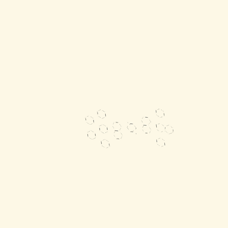 c1ccc(-c2c(-c3ccccc3)c(-c3ccccc3)c3c(c2-c2ccccc2)-c2cccc4c(-c5cnc(-c6ccc7c8c(cccc68)-c6c-7c(-c7ccccc7)c7ccccc7c6-c6ccccc6)cn5)ccc-3c24)cc1